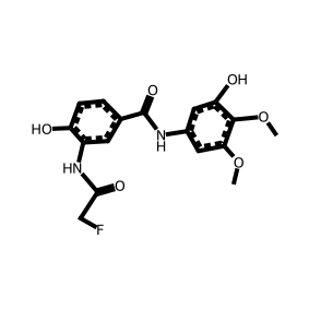 COc1cc(NC(=O)c2ccc(O)c(NC(=O)CF)c2)cc(O)c1OC